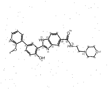 COc1ncccc1-c1ccc(O)c(-c2nc3cc(C(=O)NCCN4CCOCC4)ccc3[nH]2)c1